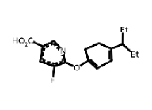 CCC(CC)C1=CC=C(Oc2ncc(C(=O)O)cc2F)CC1